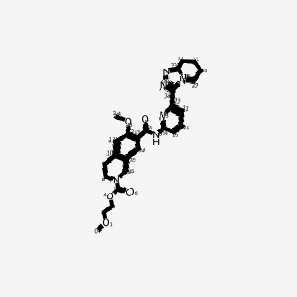 COCCOC(=O)N1CCc2cc(OC)c(C(=O)Nc3cccc(-c4nnc5n4CCCC5)n3)cc2C1